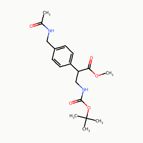 COC(=O)C(CNC(=O)OC(C)(C)C)c1ccc(CNC(C)=O)cc1